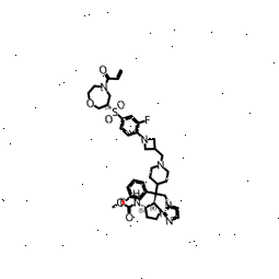 C=CC(=O)N1CCOC[C@@H](S(=O)(=O)c2ccc(N3CC(CN4CCC(C(Cn5ccnn5)(c5cccc(F)c5)[C@H]5CCC[C@@H]5NC(=O)OC)CC4)C3)c(F)c2)C1